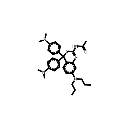 CCCN(CCC)c1ccc2c(c1)N=C(NC(C)=O)SC2(c1ccc(N(C)C)cc1)c1ccc(N(C)C)cc1